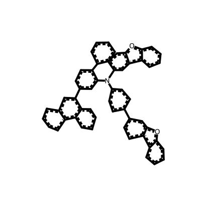 c1ccc(-c2ccc(-c3cc4ccccc4c4ccccc34)cc2N(c2ccc(-c3ccc4c(c3)oc3ccccc34)cc2)c2ccc3oc4ccccc4c3c2)cc1